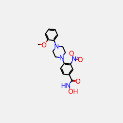 COc1ccccc1N1CCN(c2ccc(C(=O)NO)cc2[N+](=O)[O-])CC1